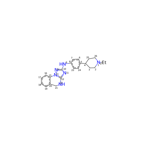 CCN1CCC(c2ccc(Nc3nc4n(n3)-c3ccccc3CN4)cc2)CC1